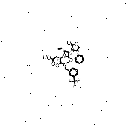 C=C[C@@H]1[C@H](N2C(=O)OC[C@@H]2c2ccccc2)C(=O)N1[C@H](CC(=O)O)C(=O)N(C)Cc1cccc(C(F)(F)F)c1